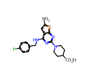 CCOC(=O)C1CCN(c2nc(NCc3ccc(F)cc3)c3cc([N+](=O)[O-])sc3n2)CC1